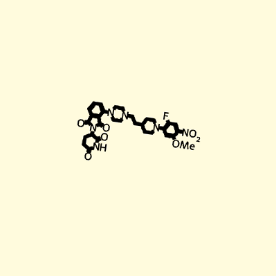 COc1cc(N2CCC(CCN3CCN(c4cccc5c4C(=O)N(C4CCC(=O)NC4=O)C5=O)CC3)CC2)c(F)cc1[N+](=O)[O-]